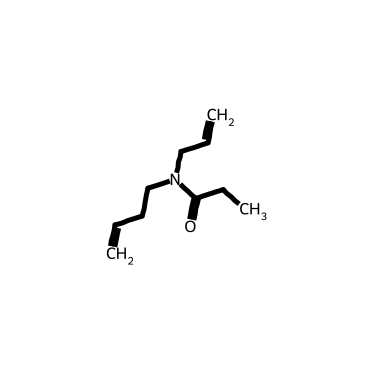 C=CCCN(CC=C)C(=O)CC